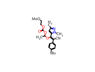 COCCOC(=O)OC(C)O/C(=C(/C#N)c1ccc(C(C)(C)C)cc1)c1cc(C)nn1C